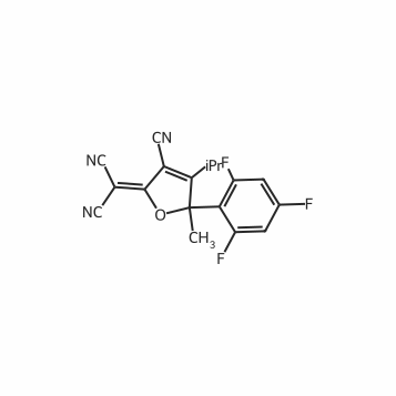 CC(C)C1=C(C#N)C(=C(C#N)C#N)OC1(C)c1c(F)cc(F)cc1F